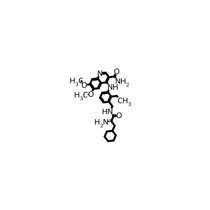 CCc1c(CNC(=O)[C@@H](N)CC2CCCCC2)cccc1Nc1c(C(N)=O)cnc2cc(OC)c(OC)cc12